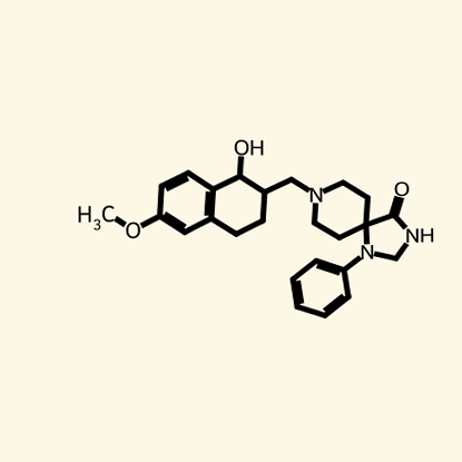 COc1ccc2c(c1)CCC(CN1CCC3(CC1)C(=O)NCN3c1ccccc1)C2O